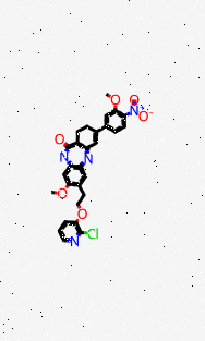 COc1cc2nc(=O)c3c(nc2cc1CCOc1cccnc1Cl)C=C(c1ccc([N+](=O)[O-])c(OC)c1)CC3